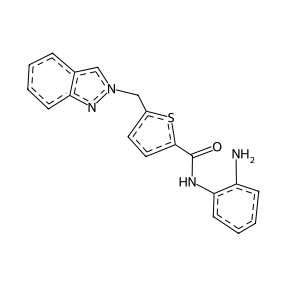 Nc1ccccc1NC(=O)c1ccc(Cn2cc3ccccc3n2)s1